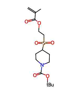 C=C(C)C(=O)OCCS(=O)(=O)C1CCN(C(=O)OC(C)(C)C)CC1